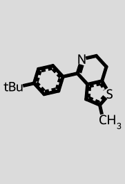 Cc1cc2c(s1)CCN=C2c1ccc(C(C)(C)C)cc1